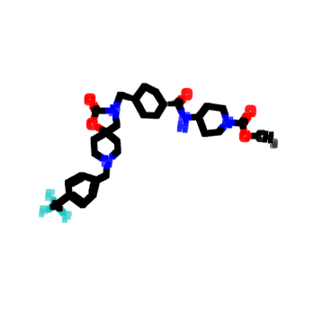 COC(=O)N1CCC(NC(=O)[C@H]2CC[C@H](CN3CC4(CCN(Cc5ccc(C(F)(F)F)cc5)CC4)OC3=O)CC2)CC1